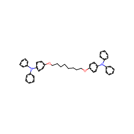 c1ccc(N(c2ccccc2)c2ccc(OCCCCCCCCOc3ccc(N(c4ccccc4)c4ccccc4)cc3)cc2)cc1